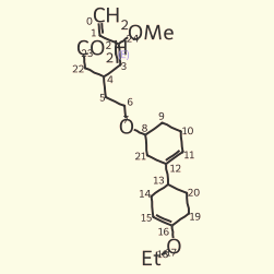 C=C/C(=C\C(CCOC1CCC=C(C2CC=C(OCC)CC2)C1)CC(=O)O)OC